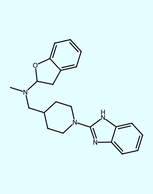 CN(CC1CCN(c2nc3ccccc3[nH]2)CC1)C1Cc2ccccc2O1